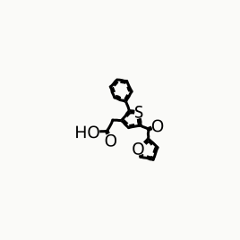 O=C(O)Cc1cc(C(=O)c2ccco2)sc1-c1ccccc1